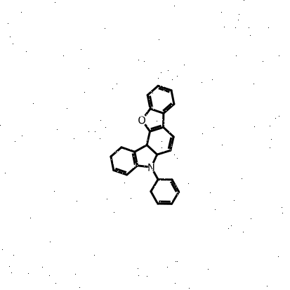 C1=CCC(N2C3=C(CCC=C3)C3c4oc5ccccc5c4C=CC32)C=C1